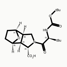 CC(C)(C)OC(=O)N[C@H](C(=O)N1C[C@H]2[C@@H]([C@H]1C(=O)O)[C@H]1CC[C@@H]2O1)C(C)(C)C